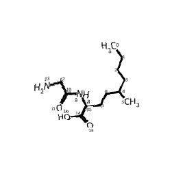 CCCCC(C)CC[C@H](NC(=O)CN)C(=O)O